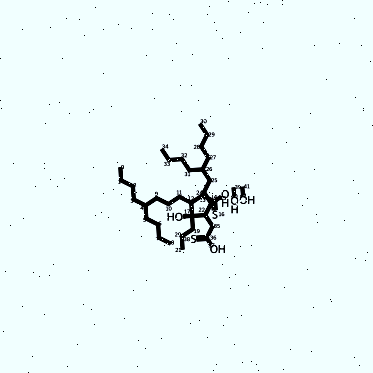 CCCCC(CCCC)CCCC(CC(O)=S)C(O)(CCC)C(CCCC(CCCC)CCCC)CC(O)=S.CO.CO